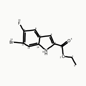 CCOC(=O)c1cc2cc(F)c(Br)cc2[nH]1